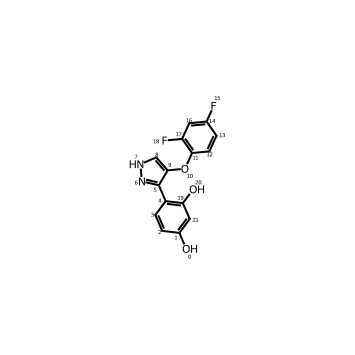 Oc1ccc(-c2n[nH]cc2Oc2ccc(F)cc2F)c(O)c1